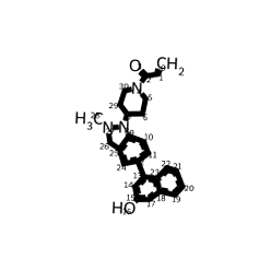 C=CC(=O)N1CCC(N2c3ccc(-c4cc(O)cc5ccccc45)cc3CN2C)CC1